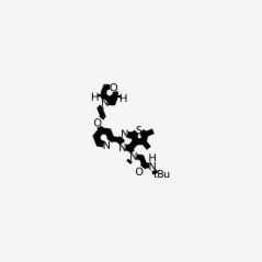 Cc1sc2nc(-c3cc(OCCN4C[C@@H]5C[C@H]4CO5)ccn3)nc(N(C)CC(=O)NC(C)(C)C)c2c1C